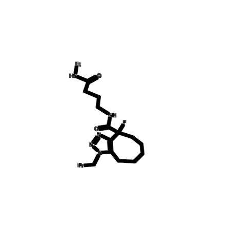 CCNC(=O)CCCNC(=O)C1(F)CCCCCc2c1nnn2CC(C)C